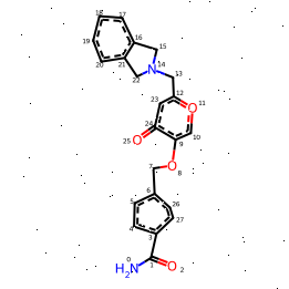 NC(=O)c1ccc(COc2coc(CN3Cc4ccccc4C3)cc2=O)cc1